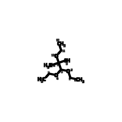 CCOC(OCC)C([SiH3])(S)OCC